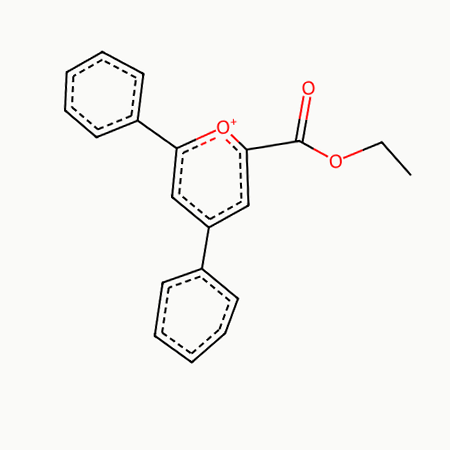 CCOC(=O)c1cc(-c2ccccc2)cc(-c2ccccc2)[o+]1